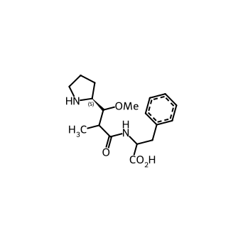 COC(C(C)C(=O)NC(Cc1ccccc1)C(=O)O)[C@@H]1CCCN1